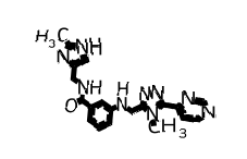 Cc1nc(CNC(=O)c2cccc(NCc3nnc(-c4ccncn4)n3C)c2)c[nH]1